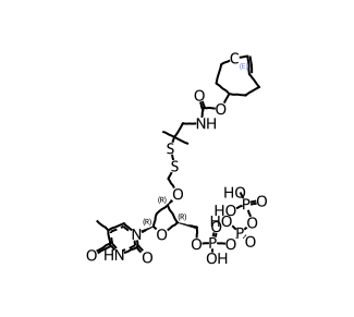 Cc1cn([C@H]2C[C@@H](OCSSC(C)(C)CNC(=O)OC3CC/C=C/CCC3)[C@@H](COP(=O)(O)OP(=O)(O)OP(=O)(O)O)O2)c(=O)[nH]c1=O